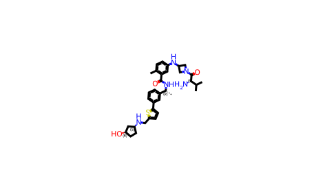 Cc1ccc(NC2CN(C(=O)[C@@H](N)C(C)C)C2)cc1C(=O)N[C@H](C)c1cccc(-c2ccc(CN[C@H]3CC[C@@H](O)C3)s2)c1